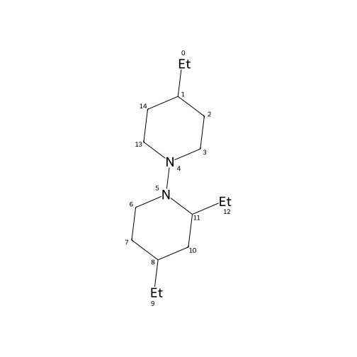 CCC1CCN(N2CCC(CC)CC2CC)CC1